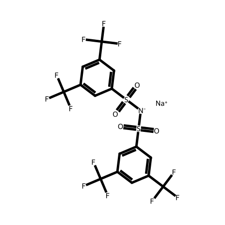 O=S(=O)([N-]S(=O)(=O)c1cc(C(F)(F)F)cc(C(F)(F)F)c1)c1cc(C(F)(F)F)cc(C(F)(F)F)c1.[Na+]